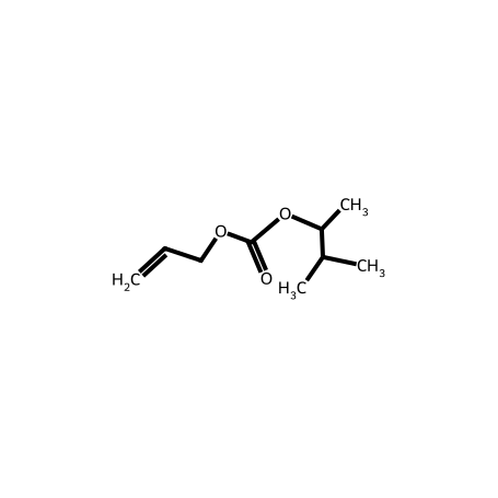 C=CCOC(=O)OC(C)C(C)C